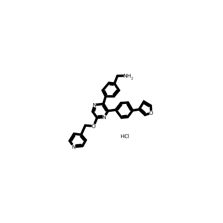 Cl.NCc1ccc(-c2ncc(OCc3ccncc3)nc2-c2ccc(-c3ccoc3)cc2)cc1